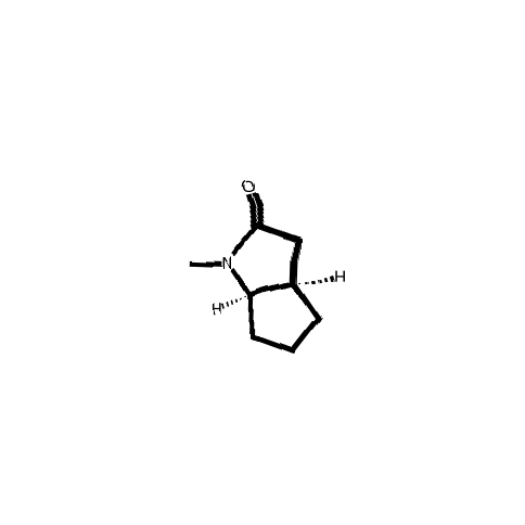 CN1C(=O)C[C@H]2CCC[C@H]21